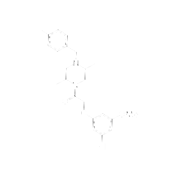 COc1cc(Cl)cc(OCC(=O)N2CC(C)N(Cc3ccc(F)cc3)CC2C)c1